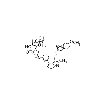 COc1ccc(CN(C)CCCc2c3c(-c4cccc(N[C@H]5C[C@@H](C(=O)O)N(C(=O)OC(C)(C)C)C5)n4)cccc3nn2C)cc1